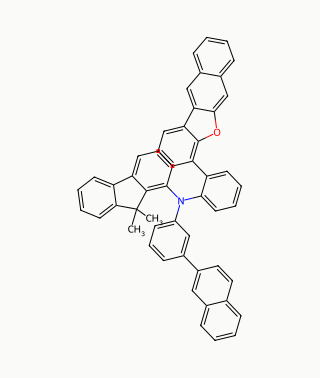 CC1(C)c2ccccc2-c2cccc(N(c3cccc(-c4ccc5ccccc5c4)c3)c3ccccc3-c3cccc4c3oc3cc5ccccc5cc34)c21